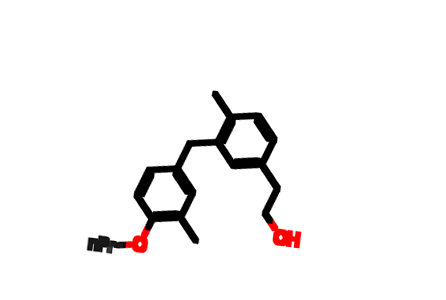 CCCOc1ccc(Cc2cc(CCO)ccc2C)cc1C